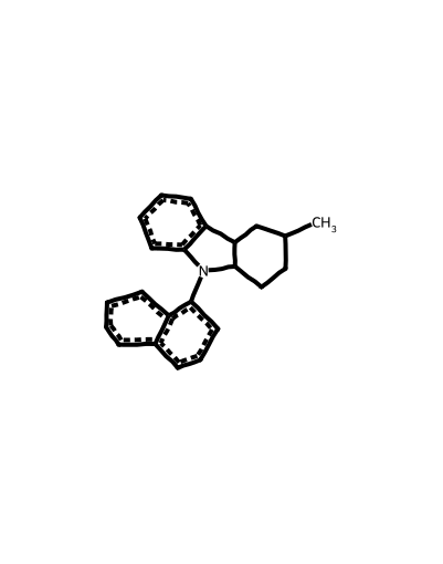 CC1CCC2C(C1)c1ccccc1N2c1cccc2ccccc12